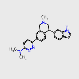 CN1Cc2cc(-c3ccc(N(C)C)nn3)ccc2C(c2ccc3cc[nH]c3c2)C1